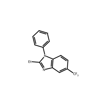 CCc1nc2cc(C(F)(F)F)ccc2n1-c1c[c]ccc1